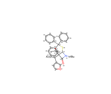 CC(=O)OC(c1ccoc1)C1([SiH](C)C)C(=O)N(C(C)(C)C)C1SC(c1ccccc1)(c1ccccc1)c1ccccc1